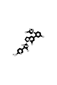 Nc1ccc(-c2[nH]c([C@@H]3CCc4cc(-c5cc(Cl)ccc5-n5cc(Cl)nn5)cc(=O)n43)nc2Cl)cn1